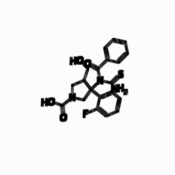 NC(=S)N(C(=O)c1ccccc1)C1(c2ccccc2F)CN(C(=O)O)CC1CO